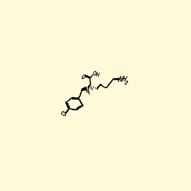 NCCCC[C@H](N=Cc1ccc(Cl)cc1)C(=O)O